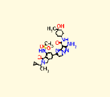 C[C@@H](C1CC1)N1Cc2cc(-c3ccn4nc(N)c(C(=O)NC5CCC(C)(O)CC5)c4n3)cc(NS(C)(=O)=O)c2C1=O